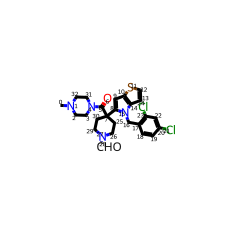 CN1CCN(C(=O)C2(c3cc4sccc4n3Cc3ccc(Cl)cc3Cl)CCN(C=O)CC2)CC1